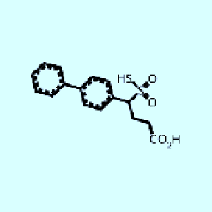 O=C(O)CCC(c1ccc(-c2ccccc2)cc1)S(=O)(=O)S